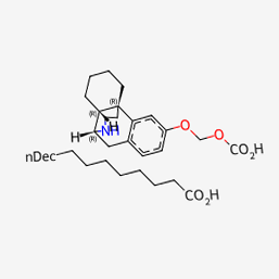 CCCCCCCCCCCCCCCCCC(=O)O.O=C(O)OCOc1ccc2c(c1)[C@@]13CCCC[C@H]1[C@@H](C2)NCC3